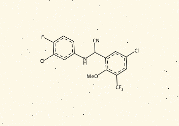 COc1c(C(C#N)Nc2ccc(F)c(Cl)c2)cc(Cl)cc1C(F)(F)F